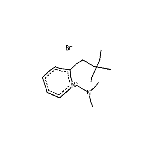 CN(C)[n+]1ccccc1CC(C)(C)C.[Br-]